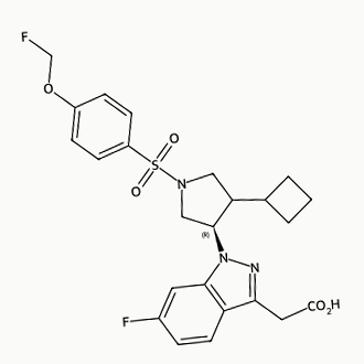 O=C(O)Cc1nn([C@H]2CN(S(=O)(=O)c3ccc(OCF)cc3)CC2C2CCC2)c2cc(F)ccc12